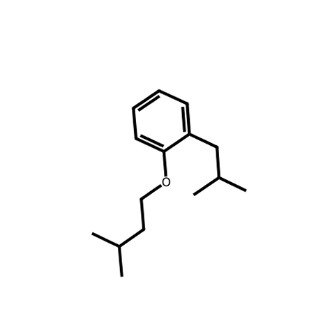 CC(C)CCOc1ccccc1CC(C)C